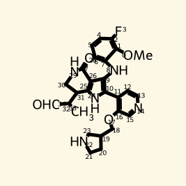 COc1c(F)cccc1Nc1c(-c2ccncc2OCC2CCNC2)[nH]c2c1C(=O)NCC2C(C)C=O